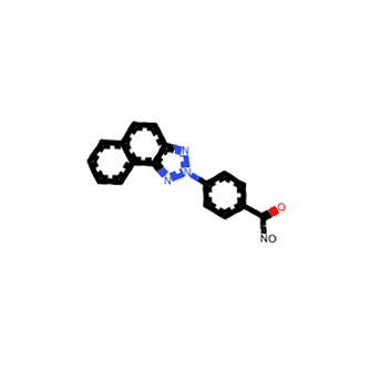 O=NC(=O)c1ccc(-n2nc3ccc4ccccc4c3n2)cc1